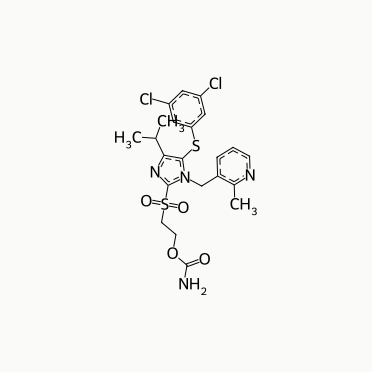 Cc1ncccc1Cn1c(S(=O)(=O)CCOC(N)=O)nc(C(C)C)c1Sc1cc(Cl)cc(Cl)c1